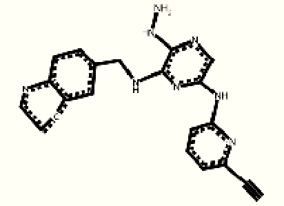 C#Cc1cccc(Nc2cnc(NN)c(NCc3ccc4ncccc4c3)n2)n1